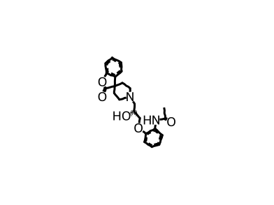 CC(=O)Nc1ccccc1OC[C@H](O)CN1CCC2(CC1)C(=O)Oc1ccccc12